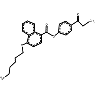 CCCCCCOc1ccc(C(=O)Oc2ccc(C(=O)CC)cc2)c2ccccc12